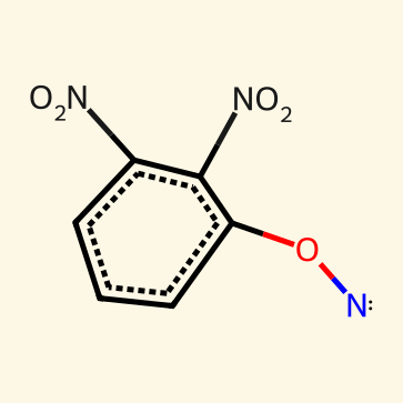 [N]Oc1cccc([N+](=O)[O-])c1[N+](=O)[O-]